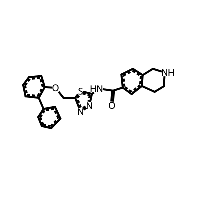 O=C(Nc1nnc(COc2ccccc2-c2ccccc2)s1)c1ccc2c(c1)CCNC2